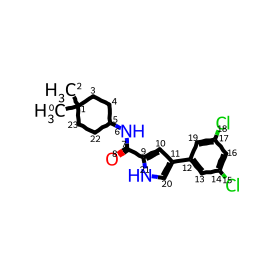 CC1(C)CCC(NC(=O)c2cc(-c3cc(Cl)cc(Cl)c3)c[nH]2)CC1